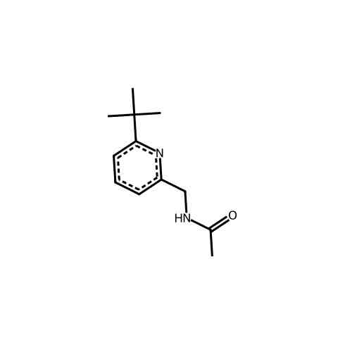 CC(=O)NCc1cccc(C(C)(C)C)n1